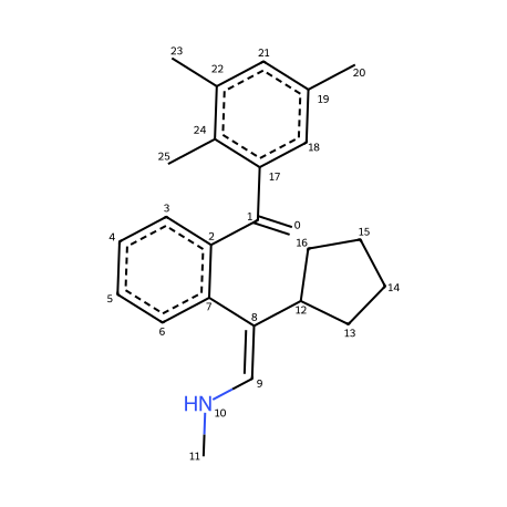 C=C(c1ccccc1/C(=C\NC)C1CCCC1)c1cc(C)cc(C)c1C